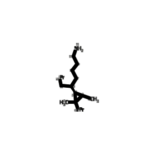 CCCC1(C)C(C)[C@@H]1C(CCCCN)CC(C)C